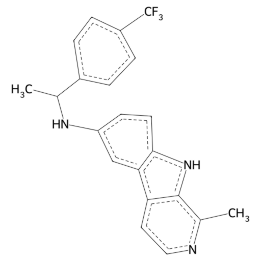 Cc1nccc2c1[nH]c1ccc(NC(C)c3ccc(C(F)(F)F)cc3)cc12